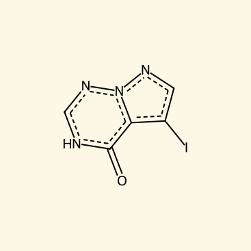 O=c1[nH]cnn2ncc(I)c12